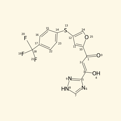 O=C(C=C(O)c1nc[nH]n1)c1cc(Sc2ccc(C(F)(F)F)cc2)co1